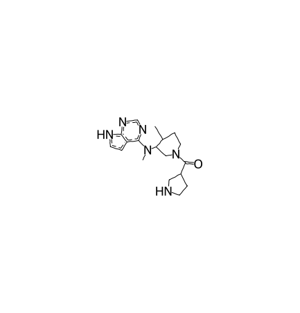 CC1CCN(C(=O)C2CCNC2)CC1N(C)c1ncnc2[nH]ccc12